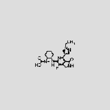 CCn1cc(-c2nc(N[C@@H]3CCCC[C@@H]3NC(=O)O)c(F)c3c2C(=O)NC3)cn1